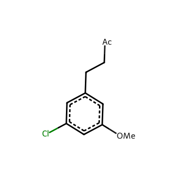 COc1cc(Cl)cc(CCC(C)=O)c1